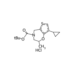 CC1CN(C(=O)OC(C)(C)C)Cc2scc(C3CC3)c2O1.Cl